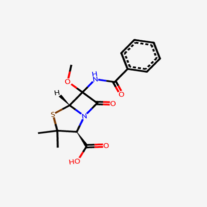 COC1(NC(=O)c2ccccc2)C(=O)N2[C@@H](C(=O)O)C(C)(C)S[C@@H]21